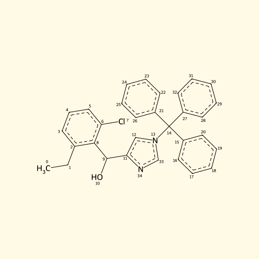 CCc1cccc(Cl)c1C(O)c1cn(C(c2ccccc2)(c2ccccc2)c2ccccc2)cn1